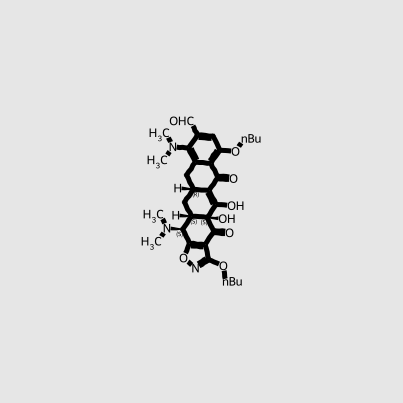 CCCCOc1cc(C=O)c(N(C)C)c2c1C(=O)C1=C(O)[C@]3(O)C(=O)c4c(OCCCC)noc4[C@@H](N(C)C)[C@@H]3C[C@@H]1C2